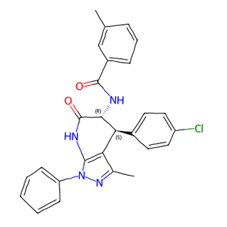 Cc1cccc(C(=O)N[C@H]2C(=O)Nc3c(c(C)nn3-c3ccccc3)[C@@H]2c2ccc(Cl)cc2)c1